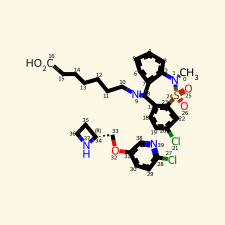 CN1c2ccccc2C(NCCCCCCC(=O)O)c2ccc(Cl)cc2S1(=O)=O.Clc1ccc(OC[C@H]2CCN2)cn1